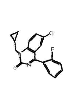 O=c1nc(-c2ccccc2F)c2cc(Cl)ccc2n1CC1CC1